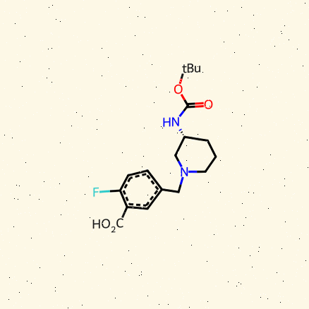 CC(C)(C)OC(=O)N[C@@H]1CCCN(Cc2ccc(F)c(C(=O)O)c2)C1